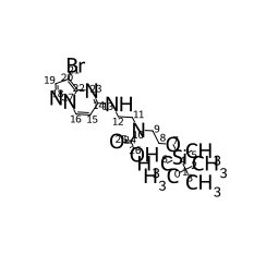 CC(C)(C)[Si](C)(C)OCCN(CCNc1ccn2ncc(Br)c2n1)C(=O)O